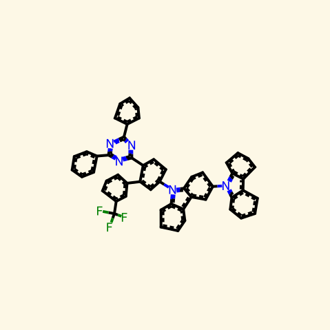 FC(F)(F)c1cccc(-c2cc(-n3c4ccccc4c4cc(-n5c6ccccc6c6ccccc65)ccc43)ccc2-c2nc(-c3ccccc3)nc(-c3ccccc3)n2)c1